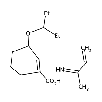 C=CC(C)=N.CCC(CC)OC1C=C(C(=O)O)CCC1